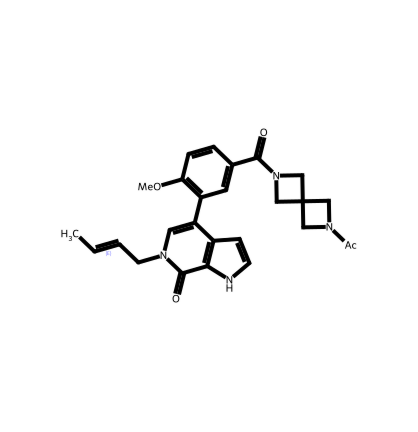 C/C=C/Cn1cc(-c2cc(C(=O)N3CC4(CN(C(C)=O)C4)C3)ccc2OC)c2cc[nH]c2c1=O